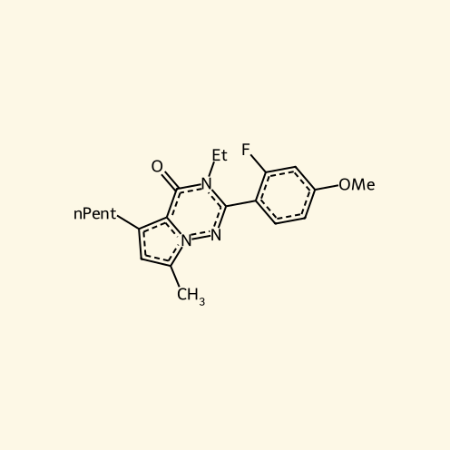 CCCCCc1cc(C)n2nc(-c3ccc(OC)cc3F)n(CC)c(=O)c12